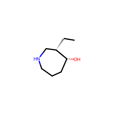 CC[C@H]1CNCCC[C@H]1O